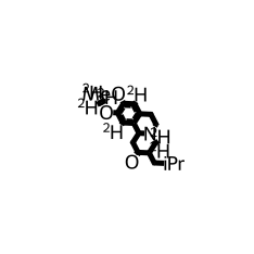 [2H]c1c2c(c([2H])c(OC([2H])([2H])[2H])c1OC)C1CC(=O)C(CC(C)C)C([2H])([2H])N1CC2